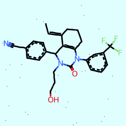 CC=C1CCCC2=C1C(c1ccc(C#N)cc1)N(CCCO)C(=O)N2c1cccc(C(F)(F)F)c1